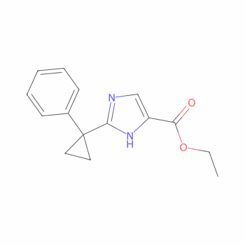 CCOC(=O)c1cnc(C2(c3ccccc3)CC2)[nH]1